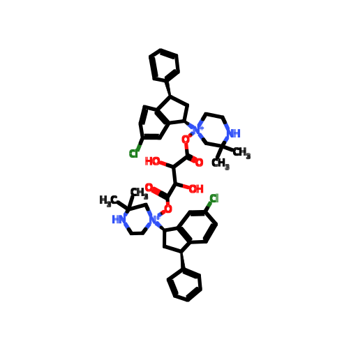 CC1(C)C[N+](OC(=O)C(O)C(O)C(=O)O[N+]2([C@@H]3C[C@H](c4ccccc4)c4ccc(Cl)cc43)CCNC(C)(C)C2)([C@@H]2C[C@H](c3ccccc3)c3ccc(Cl)cc32)CCN1